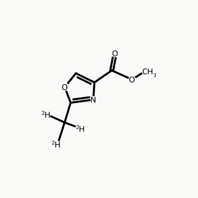 [2H]C([2H])([2H])c1nc(C(=O)OC)co1